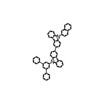 c1ccc(-c2cc(-c3ccccc3)cc(-n3c4ccccc4c4cc(-c5ccc6c(c5)c5ccccc5n6-c5ccc6ccccc6c5)ccc43)c2)cc1